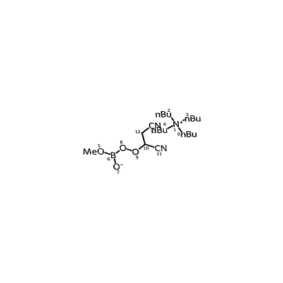 CCCC[N+](CCCC)(CCCC)CCCC.COB([O-])OOC(C#N)CC#N